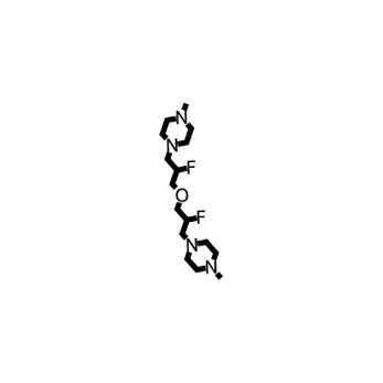 CN1CCN(CC(F)COCC(F)CN2CCN(C)CC2)CC1